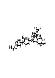 Cc1cc(-c2ccc(OC[C@@H]3CC(F)(F)CC[C@@H]3NS(=O)(=O)C3CC3)cc2F)no1